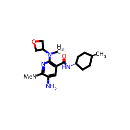 CNc1nc(N(C)C2COC2)c(C(=O)N[C@H]2CC[C@H](C)CC2)cc1N